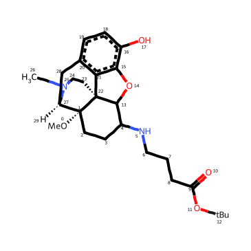 CO[C@@]12CCC(NCCCC(=O)OC(C)(C)C)C3Oc4c(O)ccc5c4[C@@]31CCN(C)[C@@H]2C5